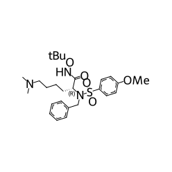 COc1ccc(S(=O)(=O)N(Cc2ccccc2)[C@H](CCCCN(C)C)C(=O)NOC(C)(C)C)cc1